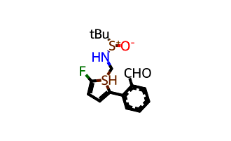 CC(C)(C)[S+]([O-])NC[SH]1C(F)=CC=C1c1ccccc1C=O